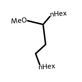 CCCCCCCCC(CCCCCC)OC